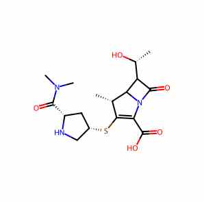 C[C@@H](O)C1C(=O)N2C(C(=O)O)=C(S[C@@H]3CN[C@H](C(=O)N(C)C)C3)[C@H](C)C12